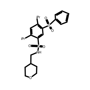 CC(C)c1cc(C(C)C)c(S(=O)(=O)c2ccccc2)cc1S(=O)(=O)NCC1CCOCC1